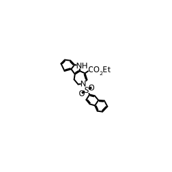 CCOC(=O)C1=CN(S(=O)(=O)c2ccc3ccccc3c2)CCc2c1[nH]c1ccccc21